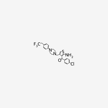 Nc1scc(CN2CCN(c3ccc(CC(F)(F)F)cc3)CC2)c1C(=O)c1ccc(Cl)cc1